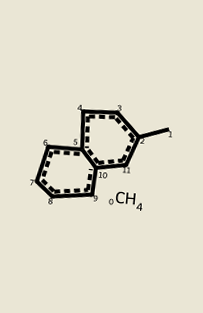 C.Cc1ccc2ccccc2c1